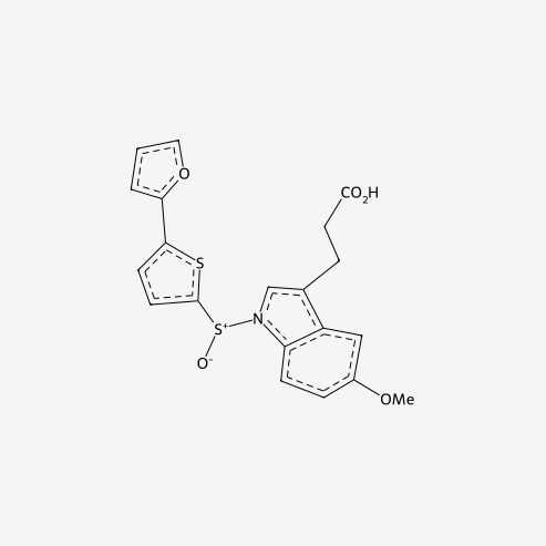 COc1ccc2c(c1)c(CCC(=O)O)cn2[S+]([O-])c1ccc(-c2ccco2)s1